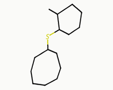 CC1CCCCC1SC1CCCCCCC1